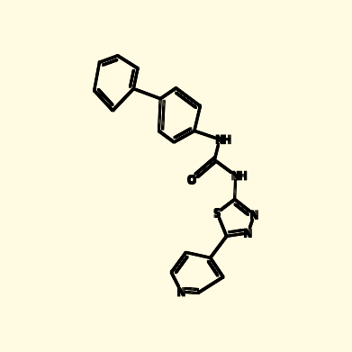 O=C(Nc1ccc(-c2ccccc2)cc1)Nc1nnc(-c2ccncc2)s1